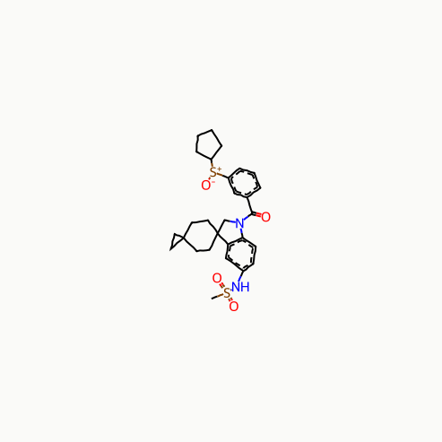 CS(=O)(=O)Nc1ccc2c(c1)C1(CCC3(CC3)CC1)CN2C(=O)c1cccc([S+]([O-])C2CCCC2)c1